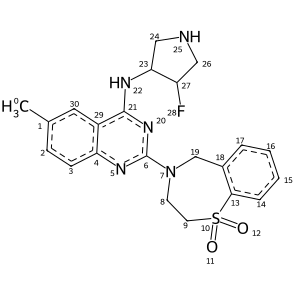 Cc1ccc2nc(N3CCS(=O)(=O)c4ccccc4C3)nc(NC3CNCC3F)c2c1